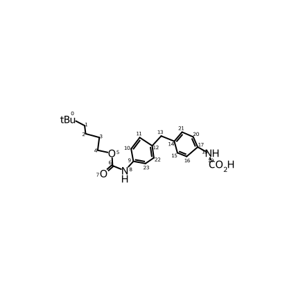 CC(C)(C)CCCCOC(=O)Nc1ccc(Cc2ccc(NC(=O)O)cc2)cc1